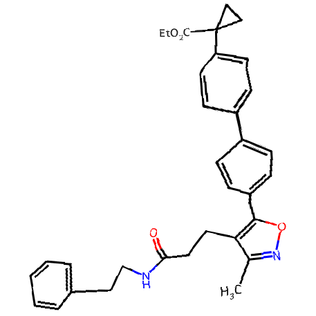 CCOC(=O)C1(c2ccc(-c3ccc(-c4onc(C)c4CCC(=O)NCCc4ccccc4)cc3)cc2)CC1